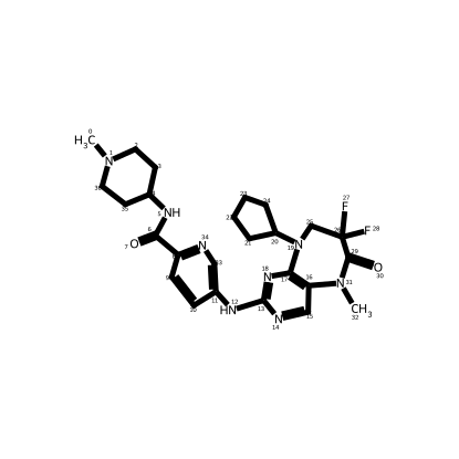 CN1CCC(NC(=O)c2ccc(Nc3ncc4c(n3)N(C3CCCC3)CC(F)(F)C(=O)N4C)cn2)CC1